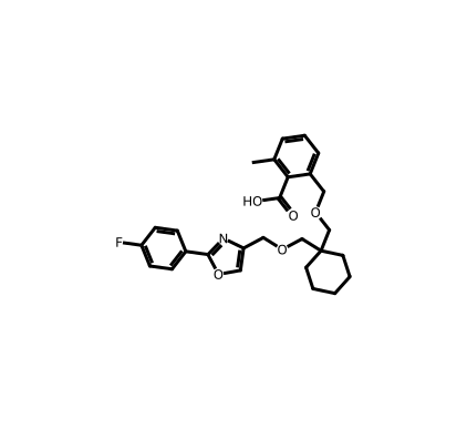 Cc1cccc(COCC2(COCc3coc(-c4ccc(F)cc4)n3)CCCCC2)c1C(=O)O